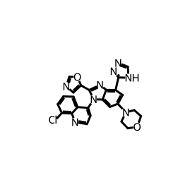 Clc1cccc2c(-n3c(-c4cnco4)nc4c(-c5nnc[nH]5)cc(N5CCOCC5)cc43)ccnc12